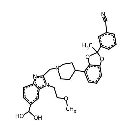 COCCn1c(CN2CCC(c3cccc4c3OC(C)(c3cccc(C#N)c3)O4)CC2)nc2ccc(C(O)O)cc21